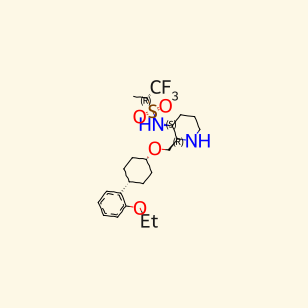 CCOc1ccccc1[C@H]1CC[C@@H](OC[C@@H]2NCCC[C@@H]2NS(=O)(=O)[C@H](C)C(F)(F)F)CC1